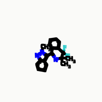 Cn1nc2ccccc2c1C1=NC(C)(C)C(F)(F)c2ccccc21